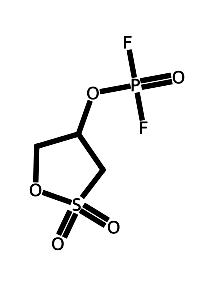 O=P(F)(F)OC1COS(=O)(=O)C1